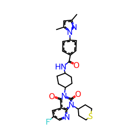 Cc1cc(C)n(-c2ccc(C(=O)NC3CCC(n4c(=O)c5cc(F)cnc5n(C5CCSCC5)c4=O)CC3)cc2)n1